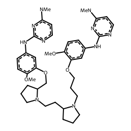 CNc1ccnc(Nc2ccc(OC)c(OCCCN3CCCC3CCN3CCCC3COc3cc(Nc4nccc(NC)n4)ccc3OC)c2)n1